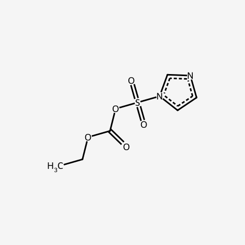 CCOC(=O)OS(=O)(=O)n1ccnc1